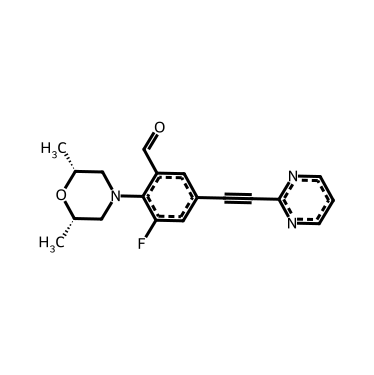 C[C@@H]1CN(c2c(F)cc(C#Cc3ncccn3)cc2C=O)C[C@H](C)O1